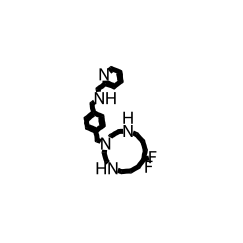 FC1(F)CCCNCCN(Cc2ccc(CNCc3ccccn3)cc2)CCNCCC1